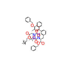 CC(C)(C)OC(=O)N[C@@H](Cc1cccc(-c2ccc(OCc3ccccc3)c(C[C@H](NC(=O)OCc3ccccc3)C(=O)OCC[Si](C)(C)C)c2)c1)C(=O)OCc1ccccc1